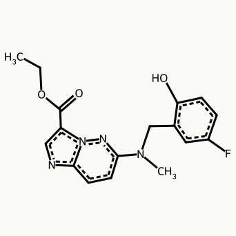 CCOC(=O)c1cnc2ccc(N(C)Cc3cc(F)ccc3O)nn12